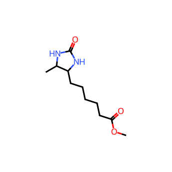 COC(=O)CCCCCC1NC(=O)NC1C